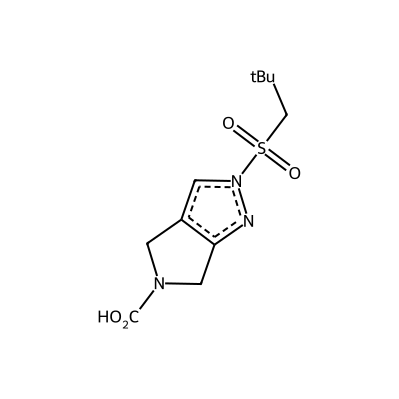 CC(C)(C)CS(=O)(=O)n1cc2c(n1)CN(C(=O)O)C2